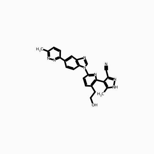 Cc1ccc(-c2ccc3c(c2)ncn3-c2ccc(CCO)c(-c3c(C#N)n[nH]c3C)n2)nn1